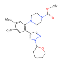 COc1cc(N2CCN(C(=O)OC(C)(C)C)CC2)c(-c2cnn(C3CCCCO3)c2)cc1[N+](=O)[O-]